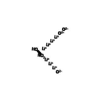 O=[N+]([O-])O.[Li+].[Li+].[Li+].[Li+].[Li+].[Li+].[Li+].[O-2].[O-2].[O-2]